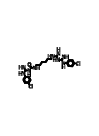 N=C(NCCCCCCNC(=O)NC(=N)Nc1ccc(Cl)cc1)NC(=N)Nc1ccc(Cl)cc1